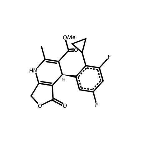 COC(=O)C1=C(C)NC2=C(C(=O)OC2)[C@@H]1c1cc(F)cc(F)c1C1CC1